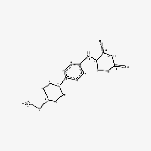 O=C(O)CN1CCN(c2ccc(NC3CCC(=O)NC3=O)cc2)CC1